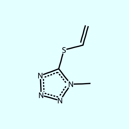 C=CSc1nnnn1C